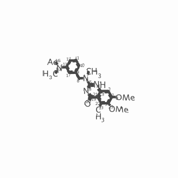 COc1cc2[nH]c(N(C)Cc3cccc(N(C)C(C)=O)c3)nc(=O)c2c(C)c1OC